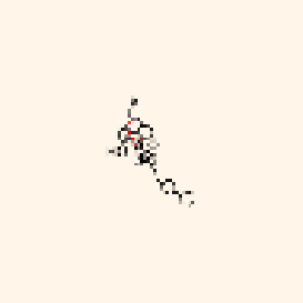 COC12CCC3(CC1C(C)(OS(=O)OCCCc1ccc(-c4ccccc4)cc1)C(C)(C)C)C1Cc4ccc(O)c5c4C3(CCN1CC1CC1)C2O5